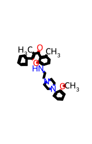 COc1ccccc1N1CCN(CCNc2ccc(C)c3c(=O)c(C)c(-c4ccccc4)oc23)CC1